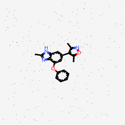 Cc1nc2c(Oc3ccccc3)cc(-c3c(C)noc3C)cc2[nH]1